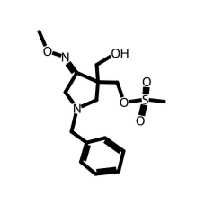 CO/N=C1\CN(Cc2ccccc2)CC1(CO)COS(C)(=O)=O